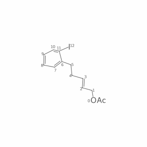 CC(=O)OCC=CCCc1ccccc1I